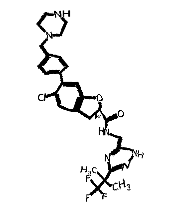 CC(C)(c1n[nH]c(CNC(=O)[C@H]2Cc3cc(Cl)c(-c4ccc(CN5CCNCC5)cc4)cc3O2)n1)C(F)(F)F